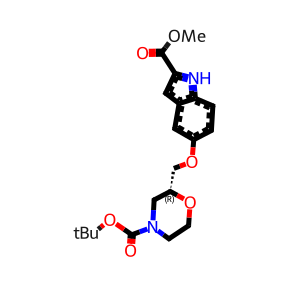 COC(=O)c1cc2cc(OC[C@H]3CN(C(=O)OC(C)(C)C)CCO3)ccc2[nH]1